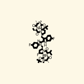 CC[C@H](NC(=O)[C@H](C)N(C)C(=O)OC(C)(C)C)C(=O)N1CCC[C@H]1Cc1c(-c2nc3cc(F)ccc3n2C[C@@H]2C[C@H](F)CN2C(=O)[C@@H](NC(=O)[C@H](C)N(C)C(=O)OC(C)(C)C)C(C)C)[nH]c2cc(F)ccc12